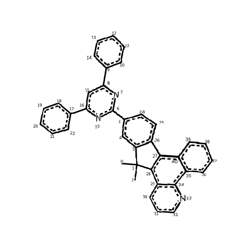 CC1(C)c2cc(-c3nc(-c4ccccc4)cc(-c4ccccc4)n3)ccc2-c2c1c1cccnc1c1ccccc21